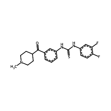 CN1CCC(C(=O)c2cccc(NC(=S)Nc3ccc(F)c(F)c3)c2)CC1